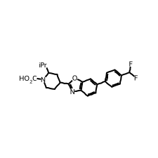 CC(C)C1CC(c2nc3ccc(-c4ccc(C(F)F)cc4)cc3o2)CCN1C(=O)O